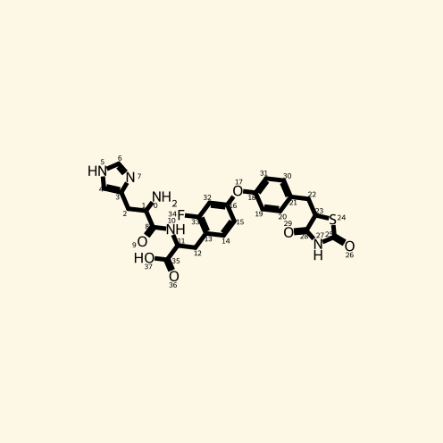 NC(Cc1c[nH]cn1)C(=O)NC(Cc1ccc(Oc2ccc(CC3SC(=O)NC3=O)cc2)cc1F)C(=O)O